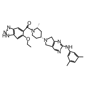 CCOc1cc2[nH]nnc2cc1C(=O)N1CC[C@@H](N2Cc3cnc(Nc4cc(C)cc(C)c4)nc3C2)C[C@H]1C